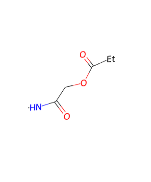 CCC(=O)OCC([NH])=O